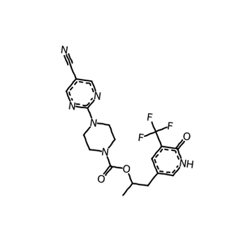 CC(Cc1c[nH]c(=O)c(C(F)(F)F)c1)OC(=O)N1CCN(c2ncc(C#N)cn2)CC1